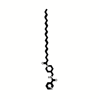 CCC=CCC=CCC=CCC=CCC=CCCCC(=O)N1CCC(CNC(=O)c2cccnc2)CC1